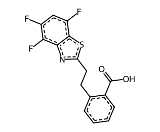 O=C(O)c1ccccc1CCc1nc2c(F)c(F)cc(F)c2s1